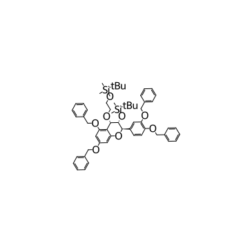 CC(C)(C)[Si](C)(C)OCCO[C@H]1c2c(OCc3ccccc3)cc(OCc3ccccc3)cc2O[C@H](c2ccc(OCc3ccccc3)c(OCc3ccccc3)c2)[C@H]1O[Si](C)(C)C(C)(C)C